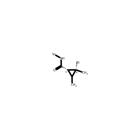 [2H]NC(=O)[C@H]1C(C)[C@@]1(C)C(C)=O